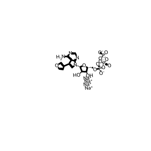 Nc1ncnc2c1c(-c1ccoc1)cn2[C@@H]1O[C@H](COP(=O)([O-])OP(=O)([O-])OP(=O)([O-])[O-])[C@@H](O)[C@H]1O.[Na+].[Na+].[Na+].[Na+]